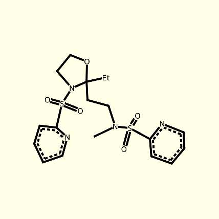 CCC1(CCN(C)S(=O)(=O)c2ccccn2)OCCN1S(=O)(=O)c1ccccn1